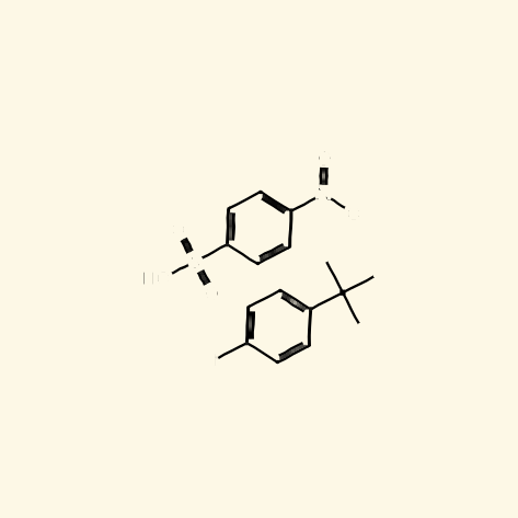 CC(C)(C)c1ccc(I)cc1.O=[N+]([O-])c1ccc(S(=O)(=O)O)cc1